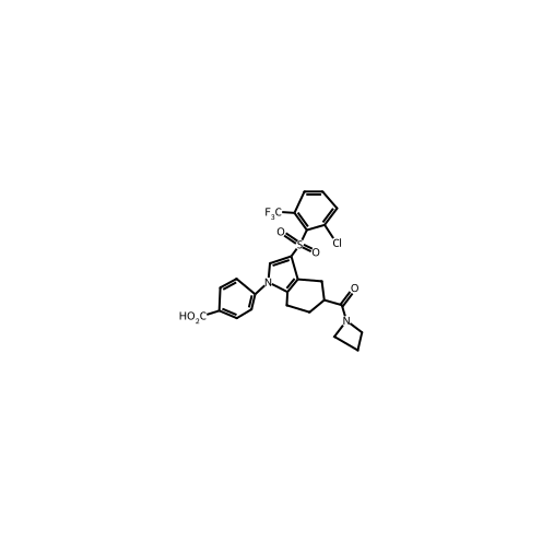 O=C(O)c1ccc(-n2cc(S(=O)(=O)c3c(Cl)cccc3C(F)(F)F)c3c2CCC(C(=O)N2CCC2)C3)cc1